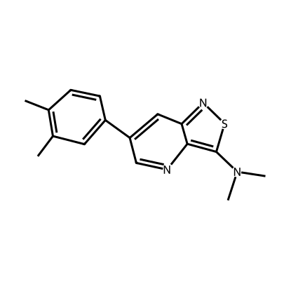 Cc1ccc(-c2cnc3c(N(C)C)snc3c2)cc1C